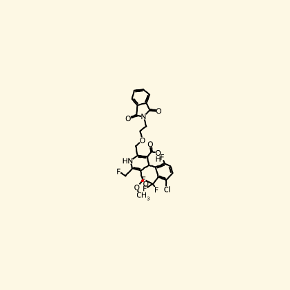 COC(=O)C1=C(CF)NC(COCCN2C(=O)c3ccccc3C2=O)=C(C(=O)O)C1c1c(F)ccc(Cl)c1C(F)(F)F